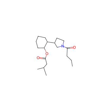 CCCC(=O)N1CCC(C2CCCCC2OC(=O)CC(C)C)C1